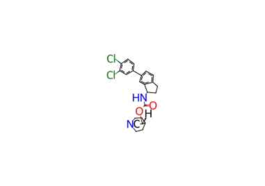 O=C(NC1CCc2ccc(-c3ccc(Cl)c(Cl)c3)cc21)O[C@H]1CN2CCC1CC2